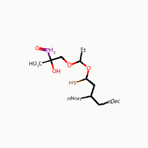 CCCCCCCCCCCC(CCCCCCCCC)CC(S)OC(CC)OCC(O)([PH2]=O)C(=O)O